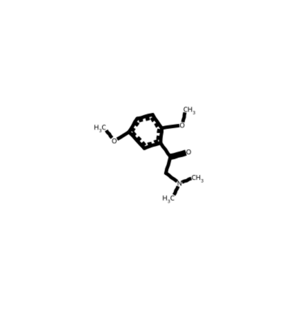 COc1ccc(OC)c(C(=O)CN(C)C)c1